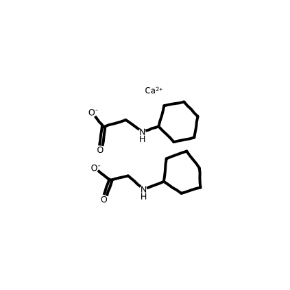 O=C([O-])CNC1CCCCC1.O=C([O-])CNC1CCCCC1.[Ca+2]